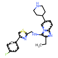 CCc1nc2ccc(C3CCNCC3)cn2c1NCc1nc(-c2ccc(F)cc2)cs1